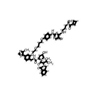 Cc1ncsc1-c1ccc(CNC(=O)[C@@H]2C[C@@H](O)CN2C(=O)C(C(C)C)N2Cc3ccccc3C2=O)c(OCCOCCCOc2ccc(Nc3ncc(Br)c(NCCCN(C)C(=O)C4CCC4)n3)cc2)c1